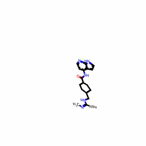 C/N=C(/NC)NCC1CCC(C(=O)Nc2ccnc3[nH]ccc23)CC1